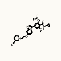 COc1cc(-c2cnc3cc(OCCN4CCCC(C#N)C4)ccn23)cc(OC(F)F)c1C(=O)NC1CC1